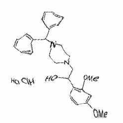 COc1ccc(C(O)CN2CCN(C(c3ccccc3)c3ccccc3)CC2)c(OC)c1.Cl.Cl